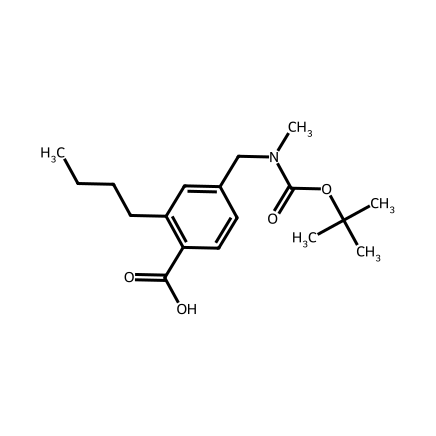 CCCCc1cc(CN(C)C(=O)OC(C)(C)C)ccc1C(=O)O